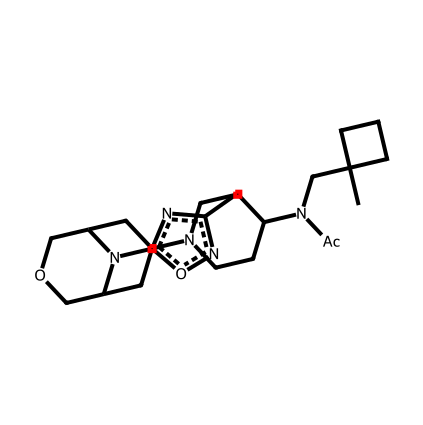 CC(=O)N(CC1(C)CCC1)C1CCN(C2CC3COCC(C2)N3c2nc(C)no2)CC1